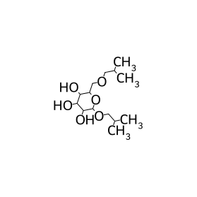 CC(C)COCC1OC(OCC(C)C)C(O)C(O)C1O